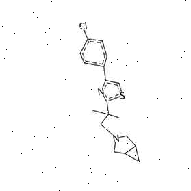 CC(C)(CN1CC2CC2C1)c1nc(-c2ccc(Cl)cc2)cs1